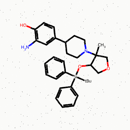 CC1(N2CCC(c3ccc(O)c(N)c3)CC2)COCC1O[Si](c1ccccc1)(c1ccccc1)C(C)(C)C